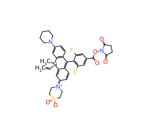 C=C[Si]1(C)C2=CC(=[N+]3CCS(=O)(=O)CC3)C=CC2=C(c2c(F)cc(C(=O)ON3C(=O)CCC3=O)cc2F)c2ccc(N3CCCCC3)cc21